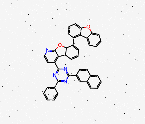 C1=CC2c3c(-c4nc(-c5ccccc5)nc(-c5ccc6ccccc6c5)n4)ccnc3OC2C(c2cccc3oc4ccccc4c23)=C1